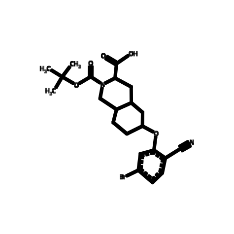 CC(C)(C)OC(=O)N1CC2CCC(Oc3cc(Br)ccc3C#N)CC2CC1C(=O)O